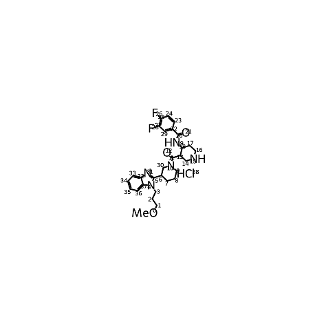 COCCCn1c(C2CCCN(C(=O)C3CNCCC3NC(=O)c3ccc(F)c(F)c3)C2)nc2ccccc21.Cl